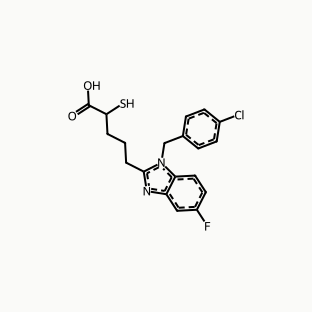 O=C(O)C(S)CCCc1nc2cc(F)ccc2n1Cc1ccc(Cl)cc1